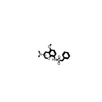 COc1ccc(NS(=O)(=O)Cc2ccccc2)c2c1C[C@@H](N(C)C)CO2